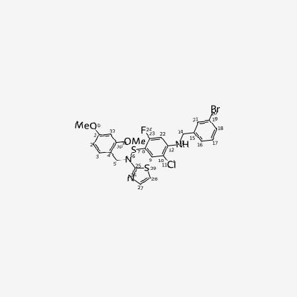 COc1ccc(CN(Sc2cc(Cl)c(NCc3cccc(Br)c3)cc2F)c2nccs2)c(OC)c1